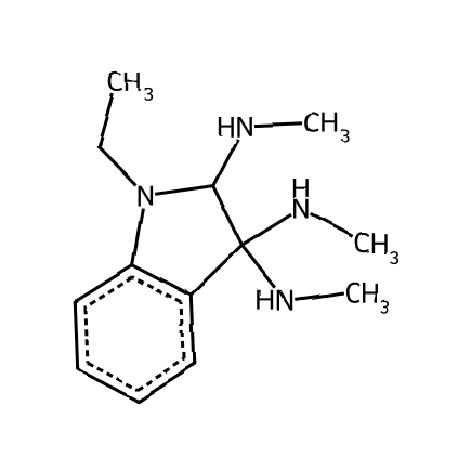 CCN1c2ccccc2C(NC)(NC)C1NC